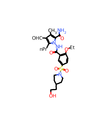 CCCc1c(C=O)c(C)c(C(N)=O)n1NC(=O)c1cc(S(=O)(=O)N2CCC(CCO)CC2)ccc1OCC